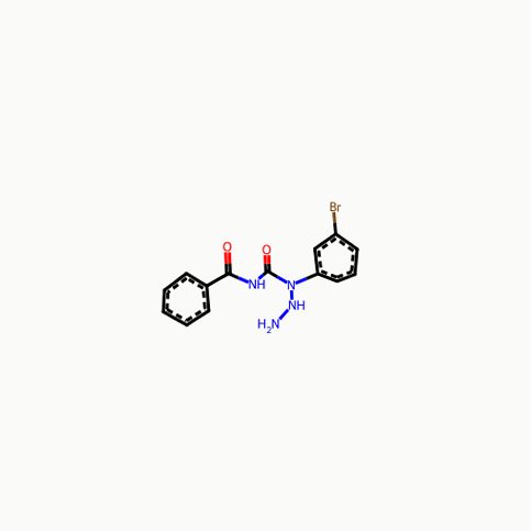 NNN(C(=O)NC(=O)c1ccccc1)c1cccc(Br)c1